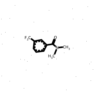 CN(C)C(=O)c1cccc(C(F)(F)F)c1